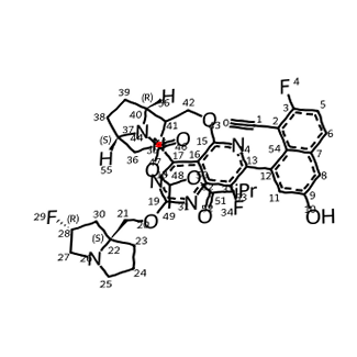 C#Cc1c(F)ccc2cc(O)cc(-c3nc4c5c(nc(OC[C@@]67CCCN6C[C@H](F)C7)nc5c3F)N3C[C@@H]5CC[C@H](C3CO4)N5C(=O)OC(C)OC(=O)C(C)C)c12